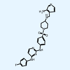 Nc1cnccc1CNC1CCN(S(=O)(=O)c2ccc(Nc3nccc(Nc4ccc(F)cc4)n3)cc2)CC1